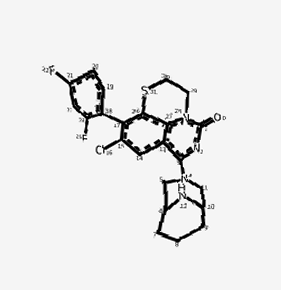 O=c1nc(N2CC3CCCC(C2)N3)c2cc(Cl)c(-c3ccc(F)cc3F)c3c2n1CCS3